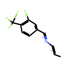 C/C=C/N=C/c1ccc(C(F)(F)F)c(F)c1